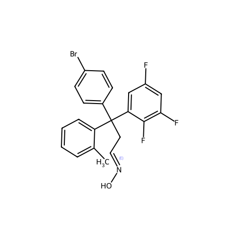 Cc1ccccc1C(C/C=N/O)(c1ccc(Br)cc1)c1cc(F)cc(F)c1F